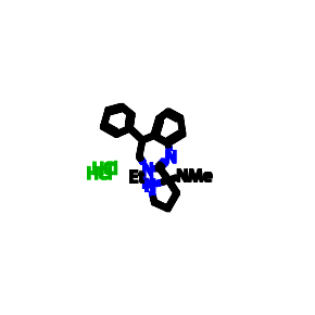 CCN1CCCC1(NC)C1=Nc2ccccc2C(c2ccccc2)CN1.Cl.Cl